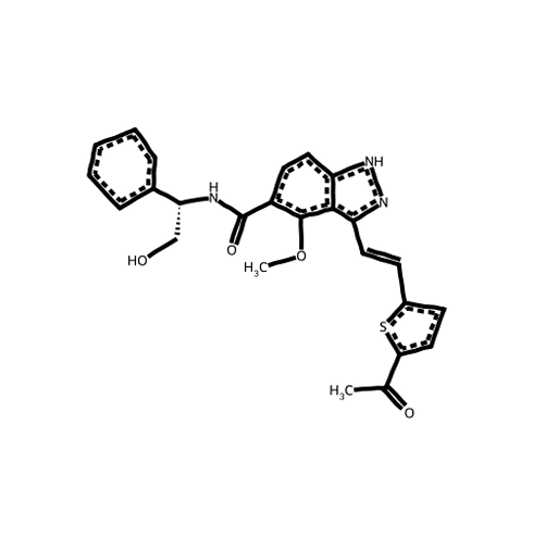 COc1c(C(=O)N[C@H](CO)c2ccccc2)ccc2[nH]nc(/C=C/c3ccc(C(C)=O)s3)c12